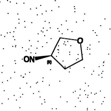 O=N[C@@H]1CCOC1